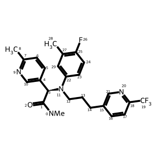 CNC(=O)[C@@H](c1ccc(C)nc1)N(CCCc1ccc(C(F)(F)F)nc1)c1ccc(F)c(C)c1